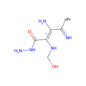 CCCC(=N)/C(N)=C(\NCO)C(=O)NN